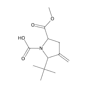 C=C1CC(C(=O)OC)N(C(=O)O)C1C(C)(C)C